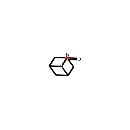 O=CN1C2CNCC1C2